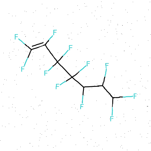 FC(F)=C(F)C(F)(F)C(F)(F)C(F)C(F)C(F)F